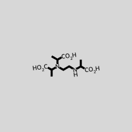 CC(NCCN(C(C)C(=O)O)C(C)C(=O)O)C(=O)O